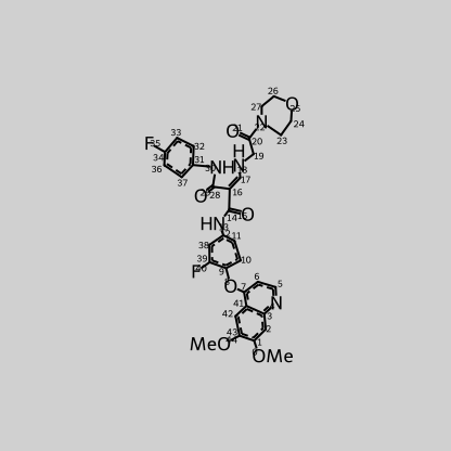 COc1cc2nccc(Oc3ccc(NC(=O)/C(=C/NCC(=O)N4CCOCC4)C(=O)Nc4ccc(F)cc4)cc3F)c2cc1OC